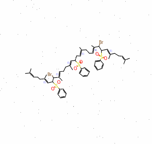 CC(C)=CCC/C(C)=C/C(C(Br)/C(C)=C/CC/C(C)=C/CC(/C=C(\C)CC/C=C(\C)C(Br)C(/C=C(\C)CCC=C(C)C)S(=O)(=O)c1ccccc1)S(=O)(=O)c1ccccc1)S(=O)(=O)c1ccccc1